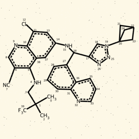 CC(C)(CNc1c(C#N)cnc2c(Cl)cc(NC(c3cn(C45CC(C4)C5)nn3)c3cccc4ncccc34)cc12)C(F)(F)F